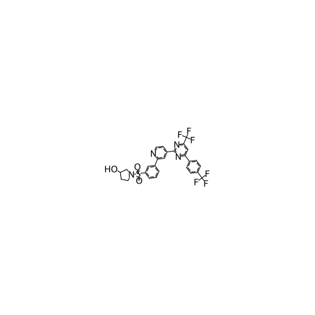 O=S(=O)(c1cccc(-c2cc(-c3nc(-c4ccc(C(F)(F)F)cc4)cc(C(F)(F)F)n3)ccn2)c1)N1CCC(O)C1